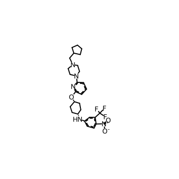 O=[N+]([O-])c1ccc(N[C@H]2CC[C@H](Oc3cccc(N4CCN(CC5CCCC5)CC4)n3)CC2)cc1C(F)(F)F